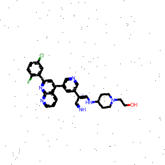 N=C/C(=C\NC1CCN(CCO)CC1)c1cncc(-c2cc(-c3cc(Cl)ccc3F)nc3ncccc23)c1